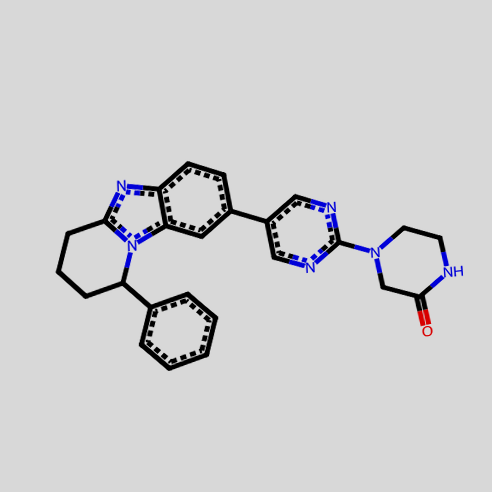 O=C1CN(c2ncc(-c3ccc4nc5n(c4c3)C(c3ccccc3)CCC5)cn2)CCN1